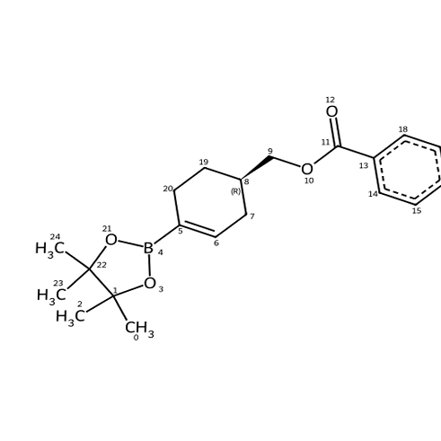 CC1(C)OB(C2=CC[C@H](COC(=O)c3ccccc3)CC2)OC1(C)C